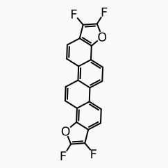 Fc1oc2c(ccc3c4ccc5c(ccc6c(F)c(F)oc65)c4ccc32)c1F